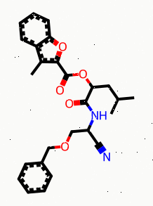 Cc1c(C(=O)OC(CC(C)C)C(=O)NC(C#N)COCc2ccccc2)oc2ccccc12